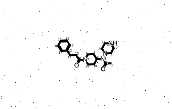 CC(=O)N(C1CCN(C(=O)CCc2ccccc2)CC1)N1CCNCC1